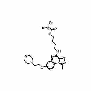 Cc1nnc2c(NCCCCNC(=O)[C@H](O)C(C)C)nc3cc(OCCN4CCOCC4)ccc3n12